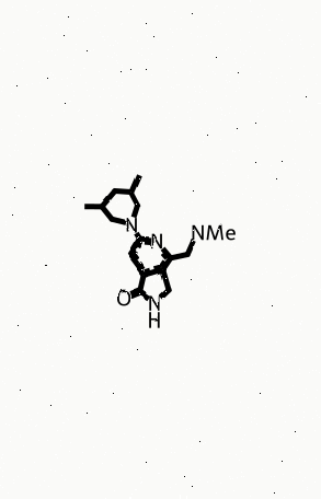 CNCc1nc(N2CC(C)CC(C)C2)cc2c1CNC2=O